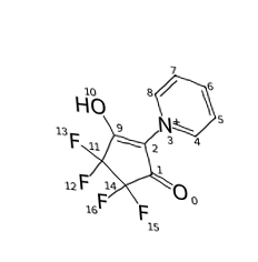 O=C1C([n+]2ccccc2)=C(O)C(F)(F)C1(F)F